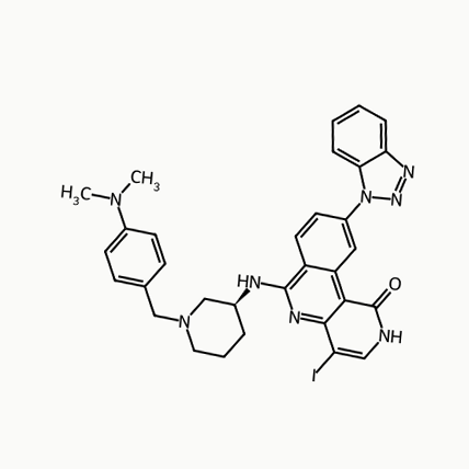 CN(C)c1ccc(CN2CCC[C@H](Nc3nc4c(I)c[nH]c(=O)c4c4cc(-n5nnc6ccccc65)ccc34)C2)cc1